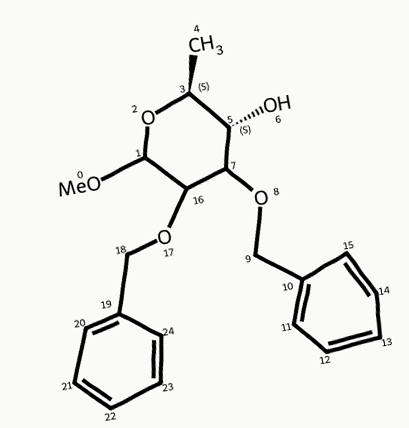 COC1O[C@@H](C)[C@H](O)C(OCc2ccccc2)C1OCc1ccccc1